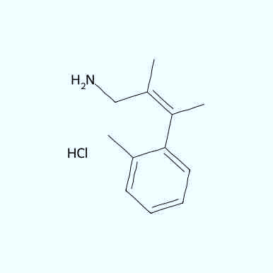 CC(CN)=C(C)c1ccccc1C.Cl